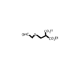 CCOC(=O)C(CSCC=O)C(=O)O